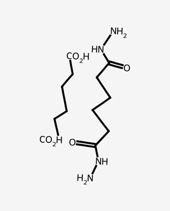 NNC(=O)CCCCC(=O)NN.O=C(O)CCCCC(=O)O